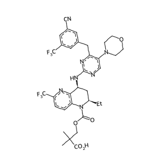 CC[C@@H]1C[C@H](Nc2ncc(N3CCOCC3)c(Cc3cc(C#N)cc(C(F)(F)F)c3)n2)c2nc(C(F)(F)F)ccc2N1C(=O)OCC(C)(C)C(=O)O